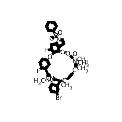 CN1C(=O)OCc2c(c(F)cc3c2ccn3S(=O)(=O)c2ccccc2)Oc2ccc(F)c(c2)-c2nc(nn2C)C(C)(c2cccc(Br)c2)C/C=C\CC1(C)C